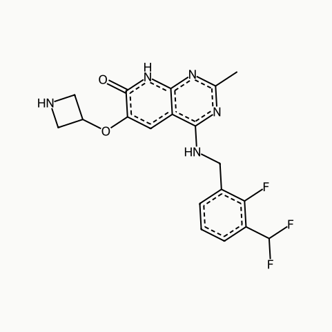 Cc1nc(NCc2cccc(C(F)F)c2F)c2cc(OC3CNC3)c(=O)[nH]c2n1